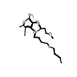 CCCCSCCCCn1c(CCOC)nc2c(N)nc(C)c(C)c21